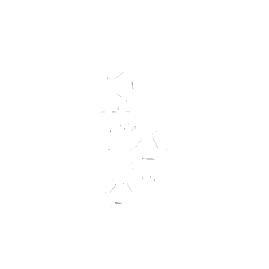 Cc1ccc(S(=O)(=O)N2CCC(CC(C#N)(c3ccccc3)c3ccccc3)CC2)cc1